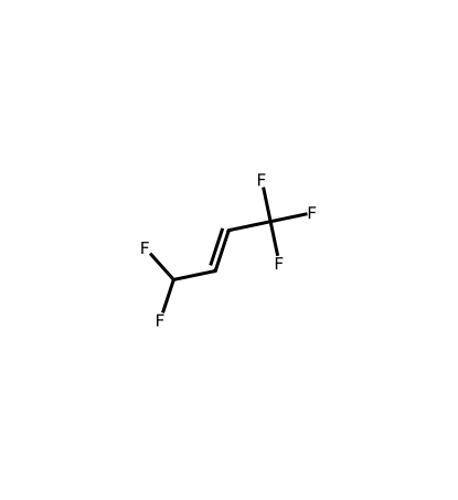 FC(F)C=CC(F)(F)F